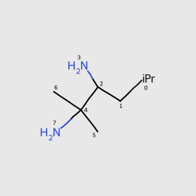 CC(C)CC(N)C(C)(C)N